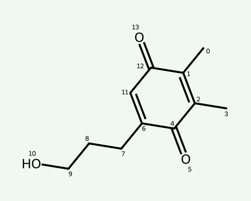 CC1=C(C)C(=O)C(CCCO)=CC1=O